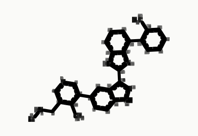 CCNCc1cncc(-c2ccc3[nH]nc(-c4nc5c(-c6ccccc6C)cccc5[nH]4)c3c2)c1C